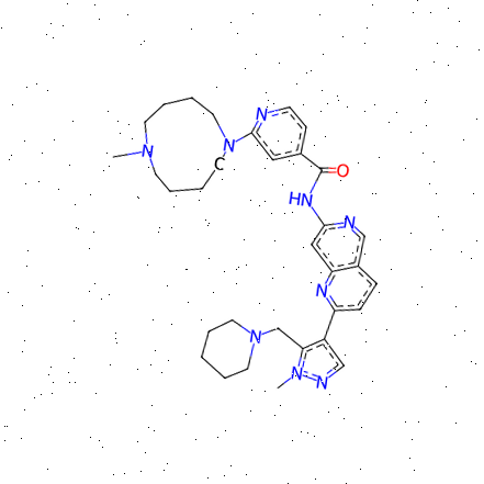 CN1CCCCN(c2cc(C(=O)Nc3cc4nc(-c5cnn(C)c5CN5CCCCC5)ccc4cn3)ccn2)CCCC1